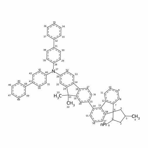 CCCC1CC(C)CC12c1ccccc1-c1c(-c3ccc4c(c3)C(C)(C)c3cc(N(c5ccc(-c6ccccc6)cc5)c5ccc(-c6ccccc6)cc5)ccc3-4)cccc12